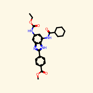 CCOC(=O)Nc1cc(NC(=O)C2CCCCC2)c2[nH]c(-c3ccc(C(=O)OC)cc3)nc2c1